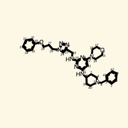 c1ccc(CN2CCC(Nc3cc(N4CCOCC4)nc(NCc4cn(CCCOc5ccccc5)nn4)n3)CC2)cc1